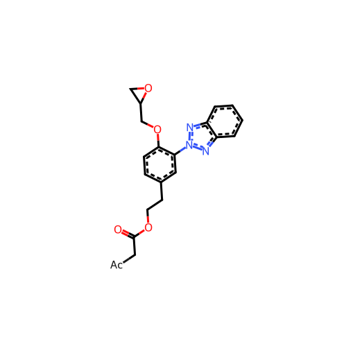 CC(=O)CC(=O)OCCc1ccc(OCC2CO2)c(-n2nc3ccccc3n2)c1